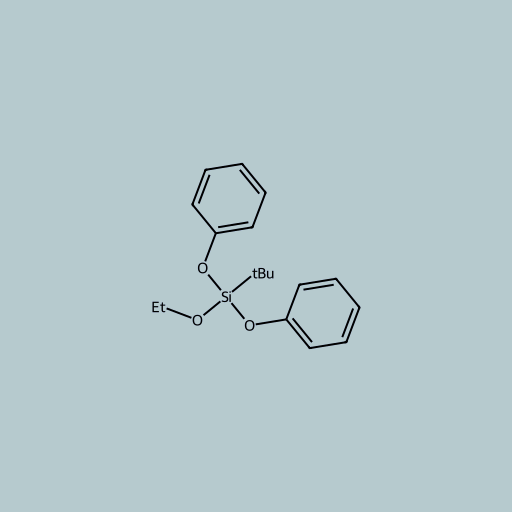 CCO[Si](Oc1ccccc1)(Oc1ccccc1)C(C)(C)C